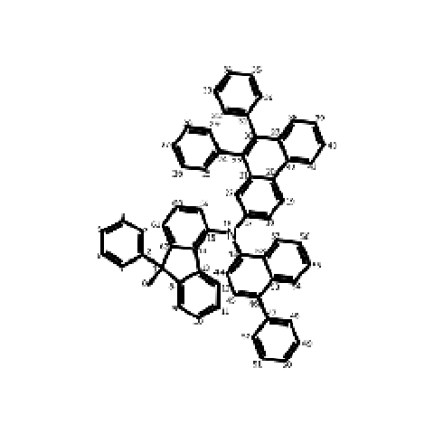 CC1(c2ccccc2)c2ccccc2-c2c(N(c3ccc4c(c3)c(-c3ccccc3)c(-c3ccccc3)c3ccccc34)c3ccc(-c4ccccc4)c4ccccc34)cccc21